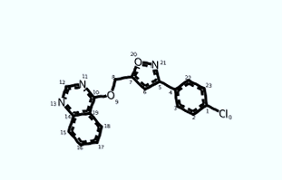 Clc1ccc(-c2cc(COc3ncnc4ccccc34)on2)cc1